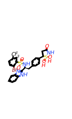 O=C1CC(c2ccc(C[C@H](NS(=O)(=O)c3cc(C(F)(F)F)ccc3Br)c3nc4ccccc4[nH]3)cc2)S(O)(O)N1